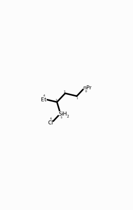 CCCCCC(CC)[SiH2]Cl